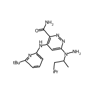 CC(C)CC(C)N(N)c1cc(Nc2cccc(C(C)(C)C)n2)c(C(N)=O)nn1